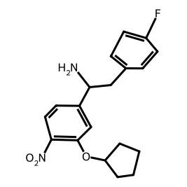 NC(Cc1ccc(F)cc1)c1ccc([N+](=O)[O-])c(OC2CCCC2)c1